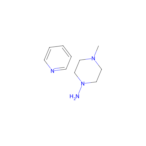 CN1CCN(N)CC1.c1ccncc1